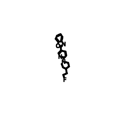 FCCC1CCN(c2ccc(-c3nc4ccccc4o3)cn2)CC1